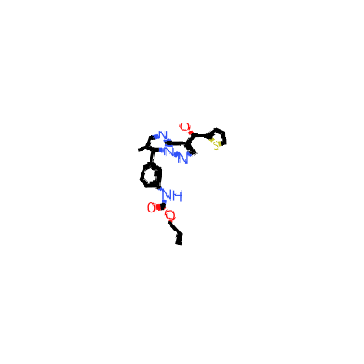 C=CCOC(=O)Nc1cccc(-c2c(C)cnc3c(C(=O)c4cccs4)cnn23)c1